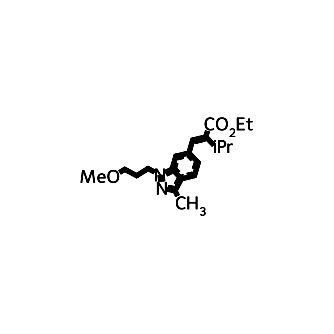 CCOC(=O)/C(=C/c1ccc2c(C)nn(CCCOC)c2c1)C(C)C